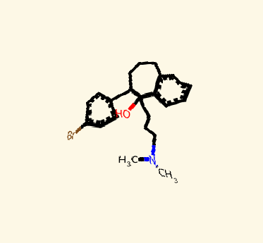 CN(C)CCCC1(O)c2ccccc2CCCC1c1ccc(Br)cc1